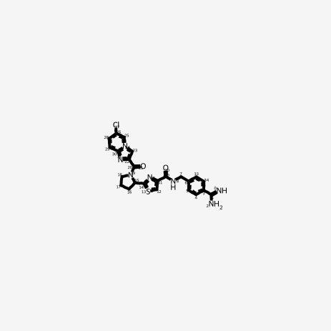 N=C(N)c1ccc(CNC(=O)c2csc(C3CCCN3C(=O)c3cn4cc(Cl)ccc4n3)n2)cc1